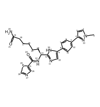 Cn1ccc(-c2ccc(-c3cnc([C@H](CCCCCC(N)=O)NC(=O)c4cncs4)[nH]3)cc2)n1